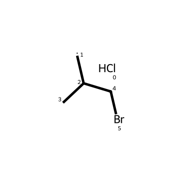 Cl.[CH2]C(C)CBr